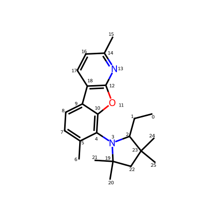 CCC1N(c2c(C)ccc3c2oc2nc(C)ccc23)C(C)(C)CC1(C)C